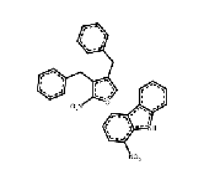 O=[N+]([O-])c1cccc2c1[nH]c1ccccc12.O=[N+]([O-])c1occ(Cc2ccccc2)c1Cc1ccccc1